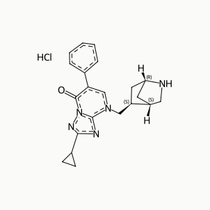 Cl.O=c1c(-c2ccccc2)cn(C[C@H]2C[C@H]3C[C@@H]2CN3)c2nc(C3CC3)nn12